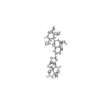 C[C@@H](Oc1cc(C2=CN(C3CO[C@H]4CCO[C@@H]34)N(C)C2)cnc1N)c1c(Cl)ccc(F)c1Cl